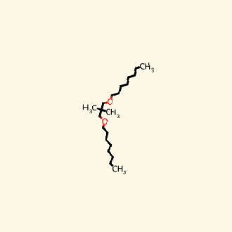 CCCCCCCCOCC(C)(C)COCCCCCCCC